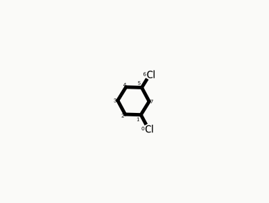 ClC1CCCC(Cl)C1